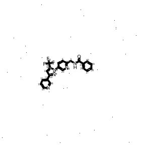 O=C(NCc1ccc(-n2nc(-c3cccnc3)cc2C(F)(F)F)cn1)c1ccccc1